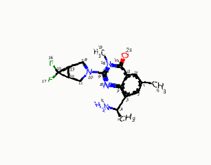 Cc1cc(C(C)N)c2nc(N3CC4C(C3)C4(F)F)n(C)c(=O)c2c1